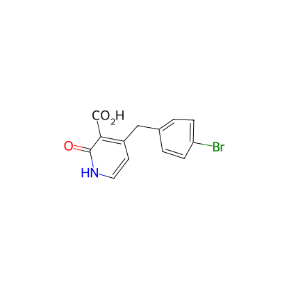 O=C(O)c1c(Cc2ccc(Br)cc2)cc[nH]c1=O